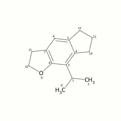 CC(C)c1c2c(cc3c1OCC3)CCC2